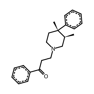 C[C@H]1CN(CCC(=O)c2ccccc2)CC[C@]1(C)c1ccccc1